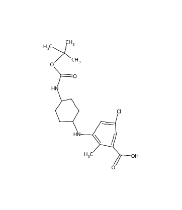 Cc1c(NC2CCC(NC(=O)OC(C)(C)C)CC2)cc(Cl)cc1C(=O)O